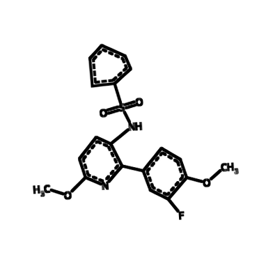 COc1ccc(NS(=O)(=O)c2ccccc2)c(-c2ccc(OC)c(F)c2)n1